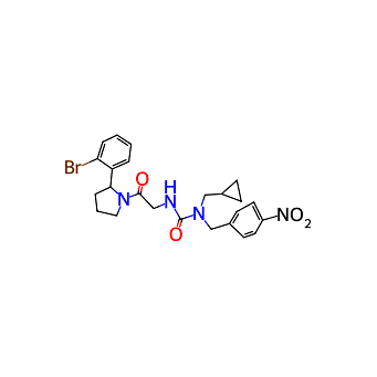 O=C(NCC(=O)N1CCCC1c1ccccc1Br)N(Cc1ccc([N+](=O)[O-])cc1)CC1CC1